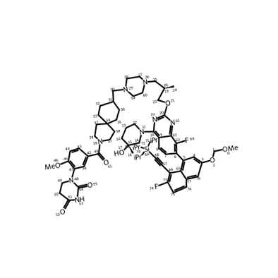 COCOc1cc(-c2ccc3c(N4CCC[C@@](C)(O)C4)nc(OC[C@H](C)CN4CCN(CC5CCC6(CC5)CCN(C(=O)c5ccc(OC)c(N7CCC(=O)NC7=O)c5)CC6)CC4)nc3c2F)c2c(C#C[Si](C(C)C)(C(C)C)C(C)C)c(F)ccc2c1